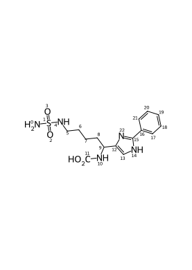 NS(=O)(=O)NCCCCC(NC(=O)O)c1c[nH]c(-c2ccccc2)n1